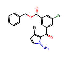 CCc1ccn(N)c1C(=O)c1cc(Br)cc(C(=O)OCc2ccccc2)c1